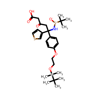 CC(C)(C)[S+]([O-])NC(CC(=O)CC(=O)O)(c1ccc(OCCO[Si](C)(C)C(C)(C)C)cc1)c1ccsc1